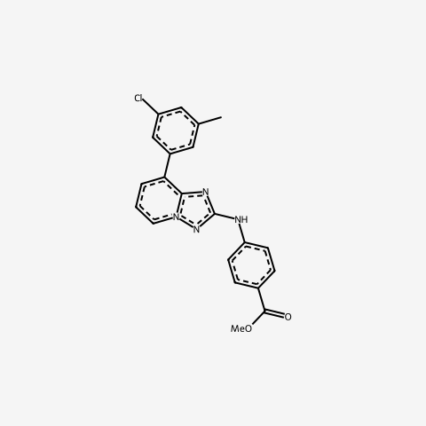 COC(=O)c1ccc(Nc2nc3c(-c4cc(C)cc(Cl)c4)cccn3n2)cc1